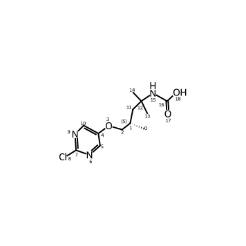 C[C@H](COc1cnc(Cl)nc1)CC(C)(C)NC(=O)O